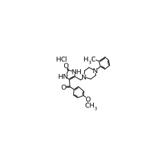 COc1ccc(C(=O)c2[nH]c(=O)[nH]c2CN2CCN(c3ccccc3C)CC2)cc1.Cl